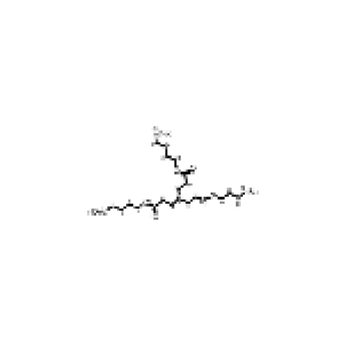 CCCCCCCCCCCCCCOC(=O)CCN(CCSSCCNCCCC)CCC(=O)OCCCCCCCCCCCCCC